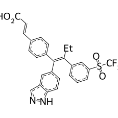 CCC(=C(c1ccc(C=CC(=O)O)cc1)c1ccc2[nH]ncc2c1)c1cccc(S(=O)(=O)C(F)(F)F)c1